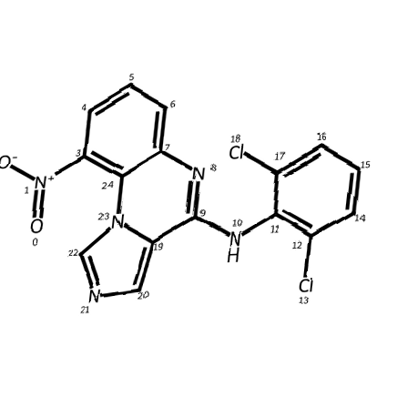 O=[N+]([O-])c1cccc2nc(Nc3c(Cl)cccc3Cl)c3cncn3c12